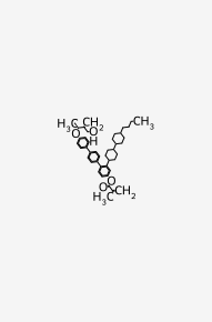 C=C(C)C(=O)Oc1ccc(-c2ccc(-c3ccc(O[C@@H](C)C(=C)CO)cc3)cc2)c(C2CCC(C3CCC(CCCC)CC3)CC2)c1